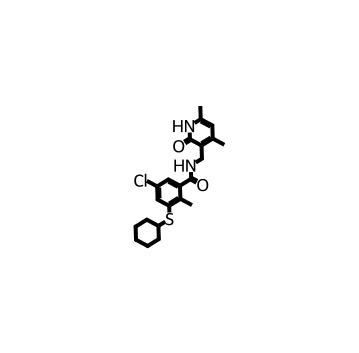 Cc1cc(C)c(CNC(=O)c2cc(Cl)cc(SC3CCCCC3)c2C)c(=O)[nH]1